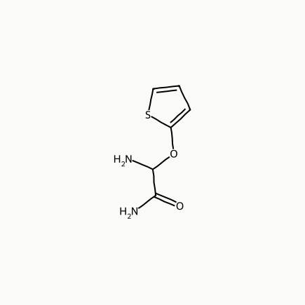 NC(=O)C(N)Oc1cccs1